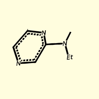 CCN(C)c1cnc[c]n1